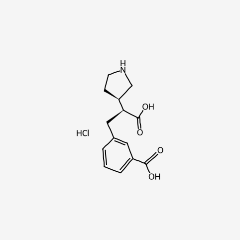 Cl.O=C(O)c1cccc(C[C@H](C(=O)O)[C@H]2CCNC2)c1